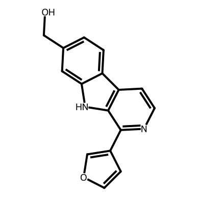 OCc1ccc2c(c1)[nH]c1c(-c3ccoc3)nccc12